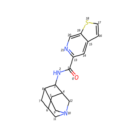 O=C(NC1C2CC3CC1CN(C3)C2)c1cc2ccsc2cn1